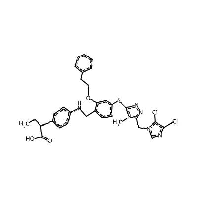 CCC(C(=O)O)c1ccc(NCc2ccc(Sc3nnc(Cn4cnc(Cl)c4Cl)n3C)cc2OCCc2ccccc2)cc1